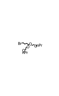 CCCOCCOC(CCCBr)OCCOCCC